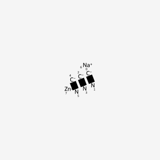 [C-]#N.[C-]#N.[C-]#N.[Na+].[Zn+2]